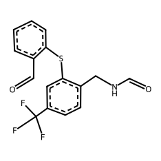 O=CNCc1ccc(C(F)(F)F)cc1Sc1ccccc1C=O